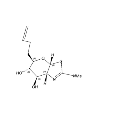 C=CCC[C@H]1O[C@@H]2SC(NC)=N[C@@H]2[C@@H](O)[C@@H]1O